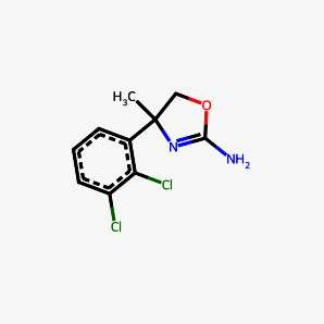 CC1(c2cccc(Cl)c2Cl)COC(N)=N1